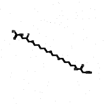 COCC(=O)NCCCCCOCCOCCCCCOCC(F)CNC(=O)C(C)C